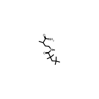 CC(CCN(C)C(=O)C(C)(C)CC(C)(C)C)C(N)=O